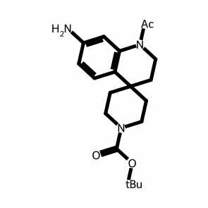 CC(=O)N1CCC2(CCN(C(=O)OC(C)(C)C)CC2)c2ccc(N)cc21